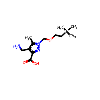 Cc1c(CN)c(C(=O)O)nn1COCC[Si](C)(C)C